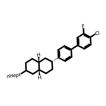 CCCCCCCC1CC[C@@H]2C[C@H](c3ccc(-c4ccc(Cl)c(F)c4)cc3)CC[C@@H]2C1